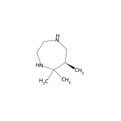 C[C@@H]1CNCCNC1(C)C